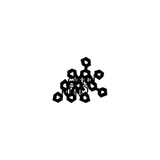 c1ccc(-c2cc3c4c(c2)N(c2ccccc2)c2cc(-c5ccccc5)cc5c2B4c2c(c4c6c(c2N5c2ccccc2)Oc2cccc5c2B6c2c(cccc2N4c2ccccc2)N5c2ccccc2)O3)cc1